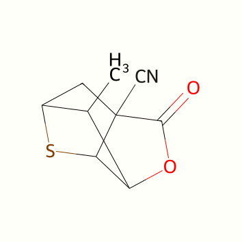 CC1C2CC3(C#N)C(=O)OC1C3S2